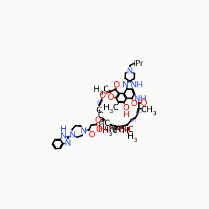 C/C1=C/C=C/C(C)[C@H](O)[C@@H](C)[C@@H](O)C[C@H](OC(=O)CC(=O)N2CCCN(c3nc4ccccc4[nH]3)CC2)CC/C=C/OC2(C)Oc3c(C)c(O)c4c(c3C2=O)C2=NC3(CCN(CC(C)C)CC3)NC2=C(NC1=O)C4=O